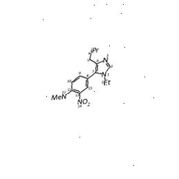 CCn1cnc(CC(C)C)c1-c1ccc(NC)c([N+](=O)[O-])c1